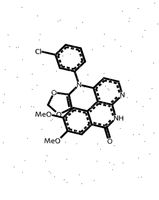 COc1cc2c(=O)[nH]c3nccc(N(C4=COCO4)c4cccc(Cl)c4)c3c2cc1OC